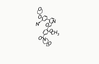 COc1cc(C(=O)N2CCC3(CCO3)CC2)ccc1-c1cc2nccc(-c3ccc(OC4CCOCC4)c(C#N)c3)c2o1